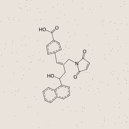 O=C(O)c1ccc(C=C(CC(O)c2cccc3ccccc23)CN2C(=O)C=CC2=O)cc1